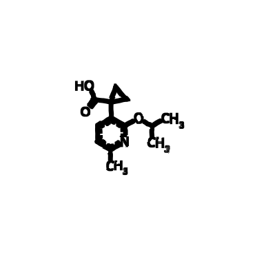 Cc1ccc(C2(C(=O)O)CC2)c(OC(C)C)n1